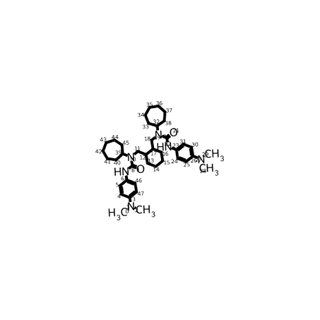 CN(C)c1ccc(NC(=O)N(CC2CCCCC2CN(C(=O)Nc2ccc(N(C)C)cc2)C2CCCCCC2)C2CCCCCC2)cc1